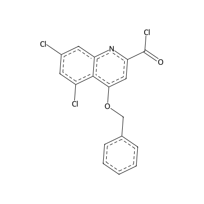 O=C(Cl)c1cc(OCc2ccccc2)c2c(Cl)cc(Cl)cc2n1